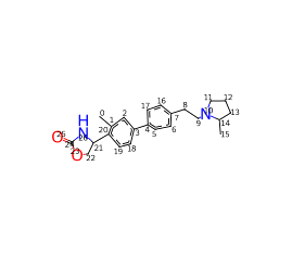 Cc1cc(-c2ccc(CCN3CCCC3C)cc2)ccc1C1COC(=O)N1